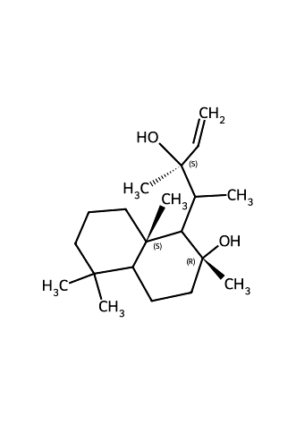 C=C[C@](C)(O)C(C)C1[C@@]2(C)CCCC(C)(C)C2CC[C@@]1(C)O